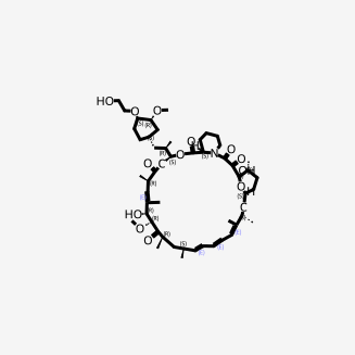 CO[C@@H]1C[C@H](C[C@@H](C)[C@@H]2CC(=O)[C@H](C)/C=C(\C)[C@@H](O)[C@@H](OC)C(=O)[C@H](C)C[C@H](C)/C=C/C=C/C=C(\C)[C@@H](C)C[C@@H]3CC[C@@H](C)[C@@](O)(O3)C(=O)C(=O)N3CCCC[C@H]3C(=O)O2)CC[C@@H]1OCCO